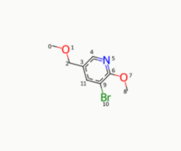 COCc1cnc(OC)c(Br)c1